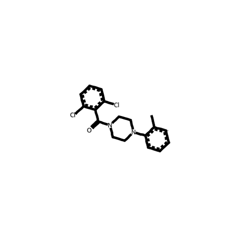 Cc1[c]cccc1N1CCN(C(=O)c2c(Cl)cccc2Cl)CC1